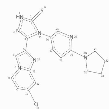 S=c1[nH]nc(-c2cn3ccc(Cl)cc3n2)n1-c1ccc(N2CCCC2)nc1